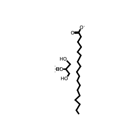 CCCCCCCCCCCCCCCCCC(=O)[O-].OCC(O)CO.[O+]